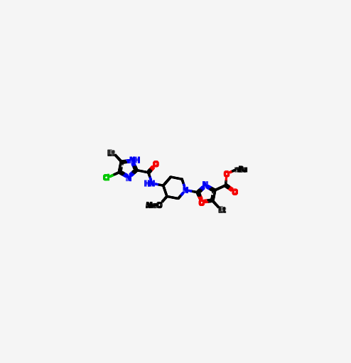 CCCCOC(=O)c1nc(N2CCC(NC(=O)c3nc(Cl)c(CC)[nH]3)C(OC)C2)oc1CC